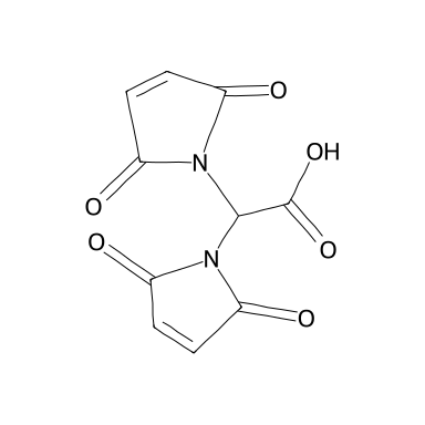 O=C(O)C(N1C(=O)C=CC1=O)N1C(=O)C=CC1=O